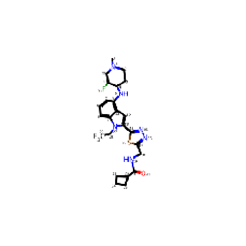 CN1CC[C@@H](Nc2cccc3c2cc(-c2nnc(CNC(=O)C4CCC4)s2)n3CC(F)(F)F)[C@@H](F)C1